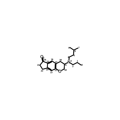 CCCN(CCC(C)C)C1COc2cc3c(cc2C1)C(=O)CC3